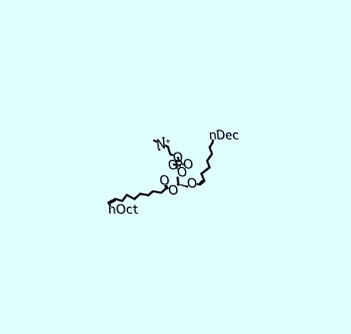 CCCCCCCC/C=C\CCCCCCCC(=O)O[C@H](CO/C=C\CCCCCCCCCCCCCCCC)COP(=O)([O-])OCC[N+](C)(C)C